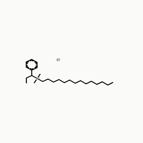 CCCCCCCCCCCCCC[N+](C)(C)C(CC)c1ccccc1.[Cl-]